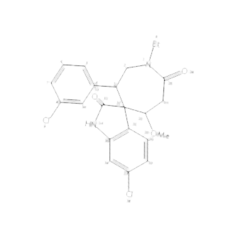 CCN1CC(c2cccc(Cl)c2)C2(C(=O)Nc3cc(Cl)ccc32)C(OC)CC1=O